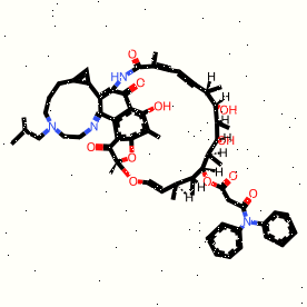 C/C1=C/C=C/[C@H](C)[C@H](O)[C@@H](C)[C@@H](O)[C@@H](C)[C@H](OC(=O)CC(=O)N(c2ccccc2)c2ccccc2)[C@H](C)[C@@H](C)/C=C/O[C@@]2(C)Oc3c(C)c(O)c4c(c3C2=O)/C2=N/CCN(CC(C)C)CCCC3=CC3C2=C(NC1=O)C4=O